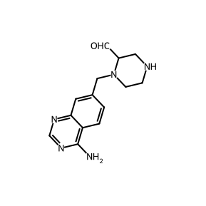 Nc1ncnc2cc(CN3CCNCC3C=O)ccc12